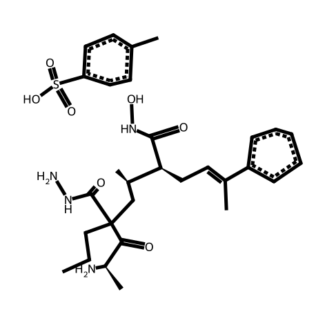 CCCC(C[C@@H](C)[C@H](C/C=C(\C)c1ccccc1)C(=O)NO)(C(=O)NN)C(=O)[C@@H](C)N.Cc1ccc(S(=O)(=O)O)cc1